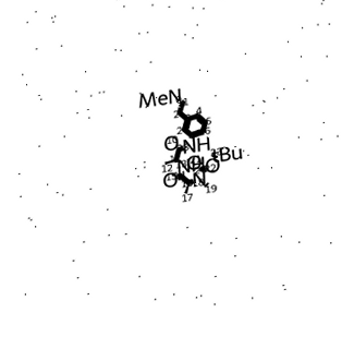 CNCCc1cccc(NC(=O)[C@H](C)NC(=O)[C@H](C)N(C)C(=O)OC(C)(C)C)c1